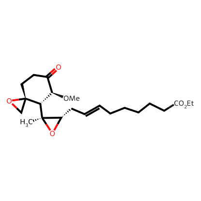 CCOC(=O)CCCCC/C=C/C[C@@H]1O[C@@]1(C)[C@H]1[C@H](OC)C(=O)CC[C@]12CO2